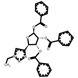 CCn1cc([C@H]2O[C@@H](OC(=O)c3ccccc3)[C@H](OC(=O)c3ccccc3)[C@@H]2OC(=O)c2ccccc2)nn1